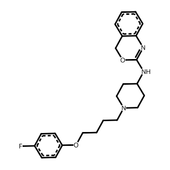 Fc1ccc(OCCCCN2CCC(NC3=Nc4ccccc4CO3)CC2)cc1